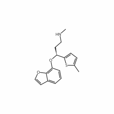 CNCC[C@H](Oc1cccc2ccoc12)c1ccc(C)s1